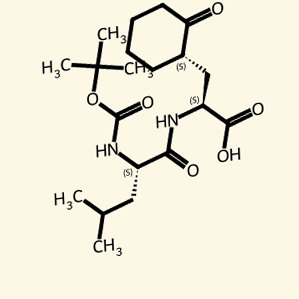 CC(C)C[C@H](NC(=O)OC(C)(C)C)C(=O)N[C@@H](C[C@@H]1CCCCC1=O)C(=O)O